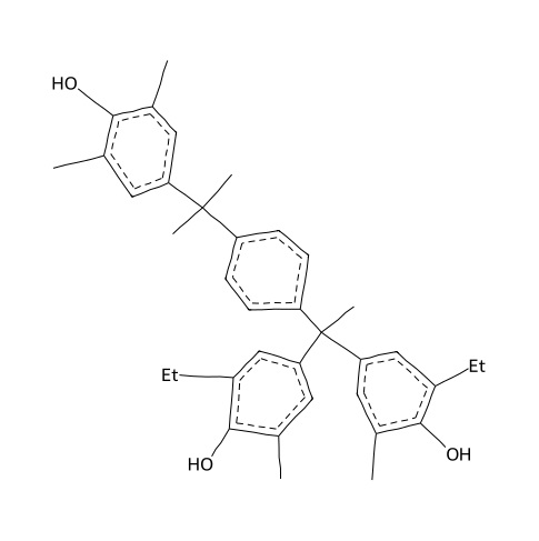 CCc1cc(C(C)(c2ccc(C(C)(C)c3cc(C)c(O)c(C)c3)cc2)c2cc(C)c(O)c(CC)c2)cc(C)c1O